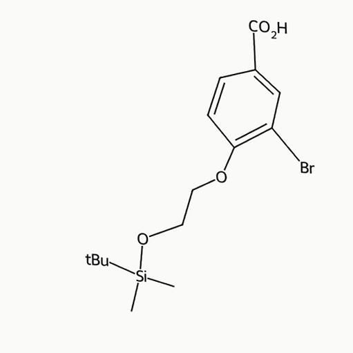 CC(C)(C)[Si](C)(C)OCCOc1ccc(C(=O)O)cc1Br